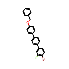 Fc1cc(-c2ccc(-c3ccc(OCc4ccccc4)cc3)cc2)ccc1Br